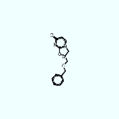 O=c1ccn2c(n1)O[C@H](COCc1ccccc1)C2